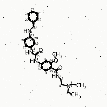 CCN(CC)CCNC(=O)c1ccc(NC(=O)Nc2ccc(NCc3ccccc3)cc2)cc1OC